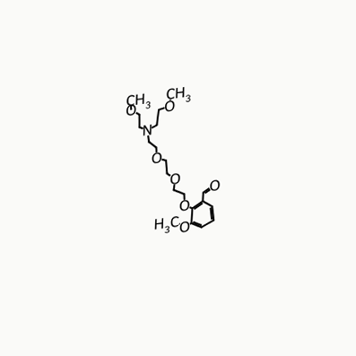 COCCN(CCOC)CCOCCOCCOc1c(C=O)cccc1OC